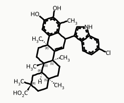 Cc1c(O)c(O)cc2c1C(c1c[nH]c3cc(Cl)ccc13)C=C1[C@@]2(C)CC[C@@]2(C)[C@@H]3C[C@](C)(C(=O)O)CC[C@]3(C)CC[C@]12C